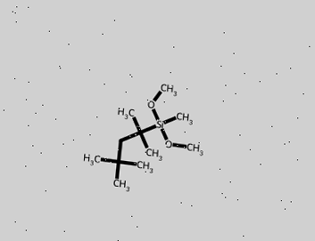 CO[Si](C)(OC)C(C)(C)CC(C)(C)C